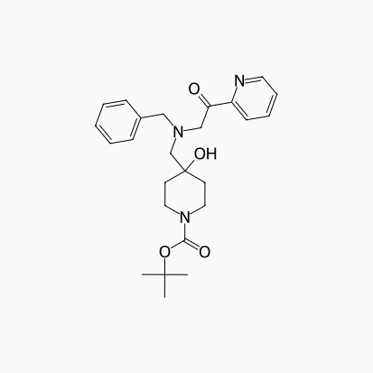 CC(C)(C)OC(=O)N1CCC(O)(CN(CC(=O)c2ccccn2)Cc2ccccc2)CC1